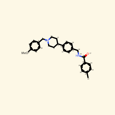 COc1ccc(CN2CCC(c3ccc(CNC(=O)c4ccc(C)cc4)cc3)CC2)cc1